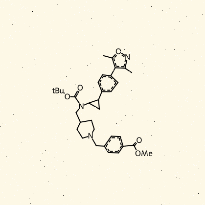 COC(=O)c1ccc(CN2CCC(CN(C(=O)OC(C)(C)C)C3CC3c3ccc(-c4c(C)noc4C)cc3)CC2)cc1